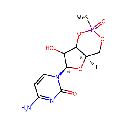 CSP1(=O)OC[C@H]2O[C@@H](n3ccc(N)nc3=O)C(O)C2O1